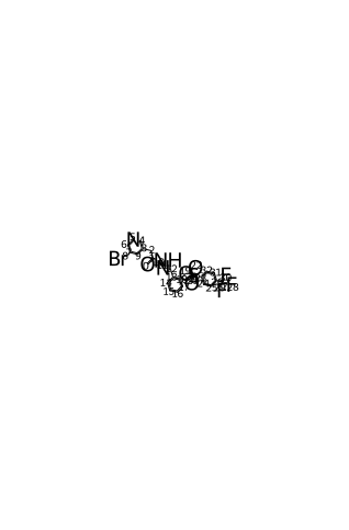 O=C(Cc1cncc(Br)c1)NN=Cc1ccccc1OS(=O)(=O)c1ccc(C(F)(F)F)cc1